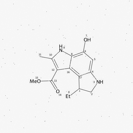 CCC1CNc2cc(O)c3[nH]c(C)c(C(=O)OC)c3c21